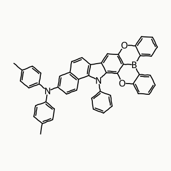 Cc1ccc(N(c2ccc(C)cc2)c2ccc3c(ccc4c5cc6c7c(c5n(-c5ccccc5)c34)Oc3ccccc3B7c3ccccc3O6)c2)cc1